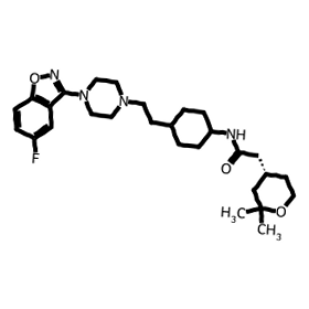 CC1(C)C[C@H](CC(=O)NC2CCC(CCN3CCN(c4noc5ccc(F)cc45)CC3)CC2)CCO1